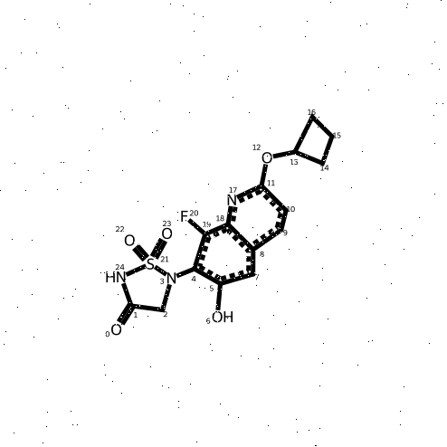 O=C1CN(c2c(O)cc3ccc(OC4CCC4)nc3c2F)S(=O)(=O)N1